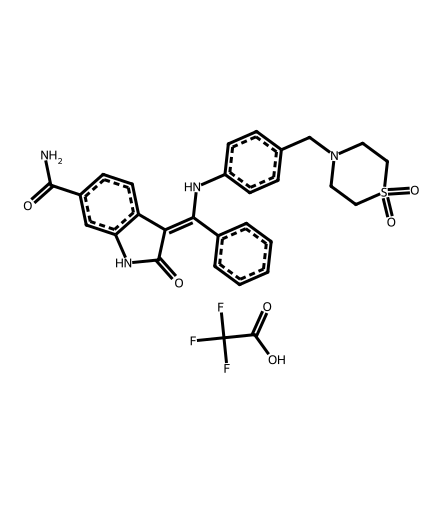 NC(=O)c1ccc2c(c1)NC(=O)C2=C(Nc1ccc(CN2CCS(=O)(=O)CC2)cc1)c1ccccc1.O=C(O)C(F)(F)F